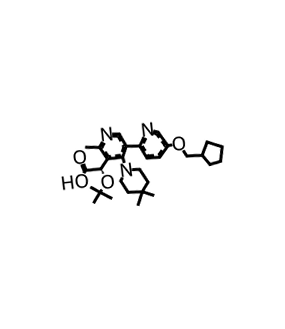 Cc1ncc(-c2ccc(OCC3CCCC3)cn2)c(N2CCC(C)(C)CC2)c1[C@H](OC(C)(C)C)C(=O)O